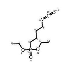 CCOP(=O)(CCCCN=C=S)OCC